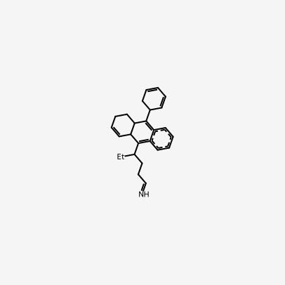 CCC(CCC=N)C1=c2ccccc2=C(C2C=CC=CC2)C2CCC=CC12